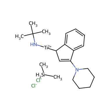 CC(C)(C)[NH][Ti+2][CH]1C=C(N2CCCCC2)c2ccccc21.C[SiH2]C.[Cl-].[Cl-]